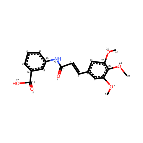 COc1cc(C=CC(=O)Nc2cccc(C(=O)O)c2)cc(OC)c1OC